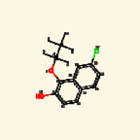 CC(C)(C)[Si](C)(C)Oc1c(O)ccc2ccc(Cl)cc12